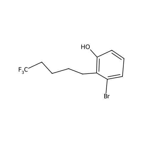 Oc1cccc(Br)c1CCCCC(F)(F)F